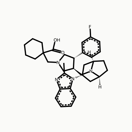 Cc1nc2ccccc2n1[C@@H]1C[C@H]2CC[C@@H](C1)N2C[C@H]1CN(CC2(C(=O)O)CCCCC2)C[C@@H]1c1cccc(F)c1